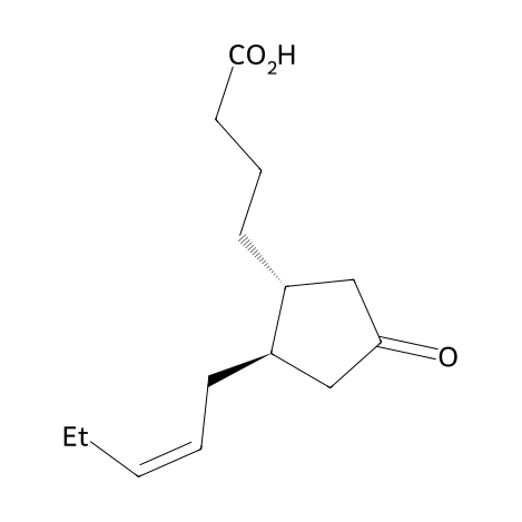 CC/C=C\C[C@@H]1CC(=O)C[C@H]1CCCC(=O)O